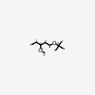 [CH2]CC(CCOC(C)(C)C)OC